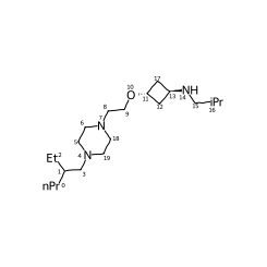 CCCC(CC)CN1CCN(CCO[C@H]2C[C@H](NCC(C)C)C2)CC1